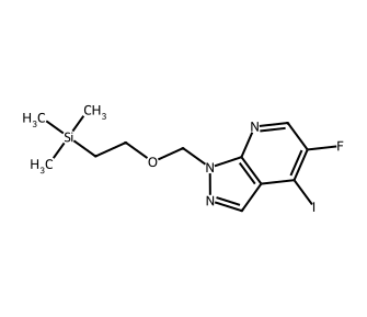 C[Si](C)(C)CCOCn1ncc2c(I)c(F)cnc21